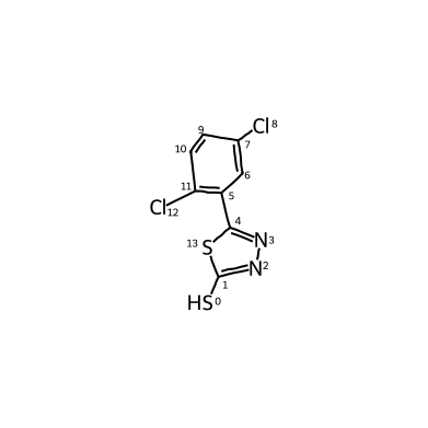 Sc1nnc(-c2cc(Cl)ccc2Cl)s1